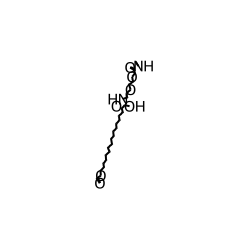 CNC(=O)COCCOCCNC(O)C(=O)CCCCCCCCCCCCCCCCOC=O